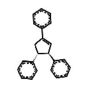 C1=C(c2ccccc2)C[C@@H](c2ccccc2)[C@@H]1c1ccccc1